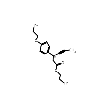 CC#C[C@@H](CC(=O)OCCC(C)C)c1ccc(OCCC(C)C)cc1